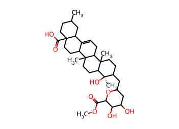 COC(=O)C1OC(CC2CCC3(C)C4CC=C5C6CC(C)CCC6(C(=O)O)CCC5C4(C)CCC3[C@]2(C)O)CC(O)C1O